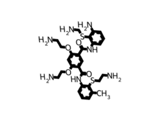 Cc1cccc(NC(=O)c2cc(C(=O)Nc3cccc(N)c3SCN)c(OCCN)cc2OCCN)c1SCCN